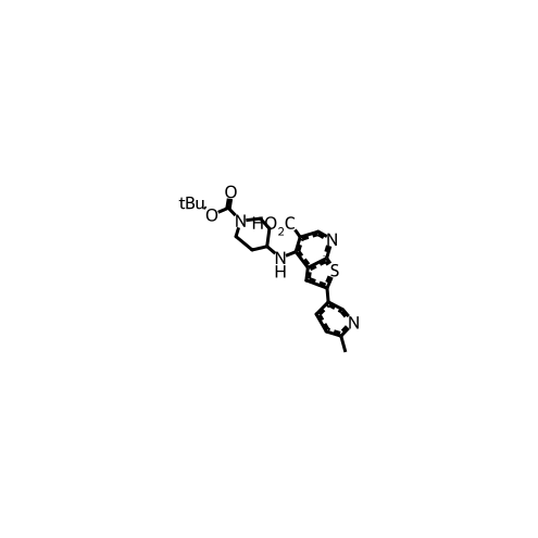 Cc1ccc(-c2cc3c(NC4CCN(C(=O)OC(C)(C)C)CC4)c(C(=O)O)cnc3s2)cn1